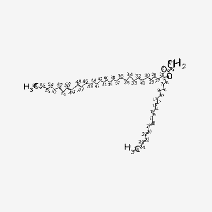 C=CC(=O)OC(CCCCCCCCCCCCCCCCCCCC)CCCCCCCCCCCCCCCCCCCCCCCCCCCCCCCCC